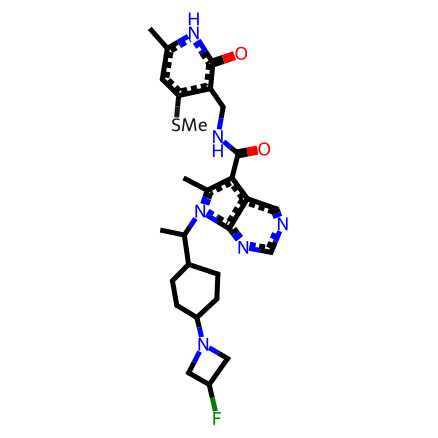 CSc1cc(C)[nH]c(=O)c1CNC(=O)c1c(C)n(C(C)C2CCC(N3CC(F)C3)CC2)c2ncncc12